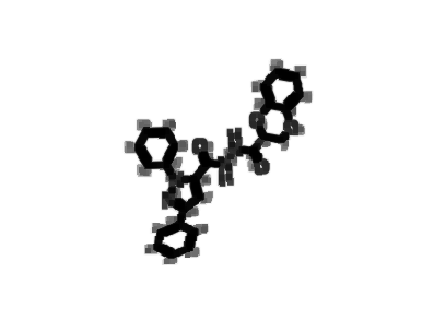 O=C(NNC(=O)[C@@H]1COc2ccccc2O1)c1cc(-c2ccccc2)nn1-c1ccccc1